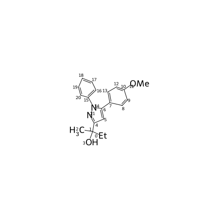 CCC(C)(O)c1cc(-c2ccc(OC)cc2)n(-c2ccccc2)n1